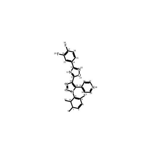 CC1C=CC(F)=C(n2nnc(-c3nc(-c4ccc(F)c(F)c4)no3)c2-c2ccncc2)C1C